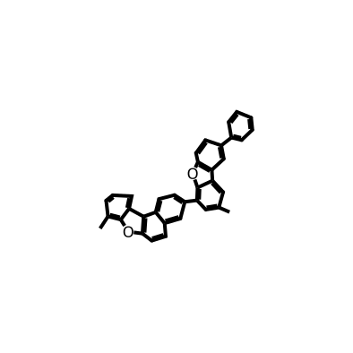 Cc1cc(-c2ccc3c(ccc4oc5c(C)cccc5c43)c2)c2oc3ccc(-c4ccccc4)cc3c2c1